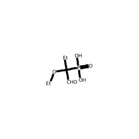 CCOC(C=O)(CC)P(=O)(O)O